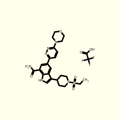 CCS(=O)(=O)N1CCC(c2c[nH]c3c(C(N)=O)cc(-c4ccc(N5CCOCC5)nn4)cc23)CC1.O=C(O)C(F)(F)F